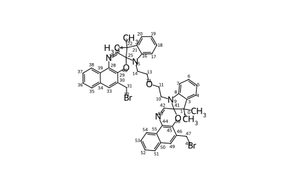 CC1(C)c2ccccc2N(CCOCCN2c3ccccc3C(C)(C)C23C=Nc2c(c(CBr)cc4ccccc24)O3)C12C=Nc1c(c(CBr)cc3ccccc13)O2